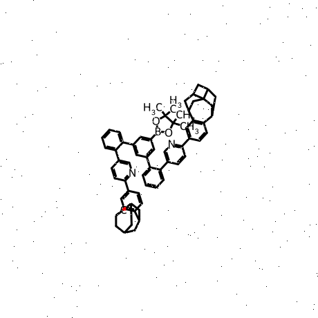 CC1(C)OB(c2cc(-c3ccccc3-c3ccc(-c4ccc5c(c4)C4CC6CC(CC5C6)C4)nc3)cc(-c3ccccc3-c3ccc(-c4ccc5c(c4)C4CC6CC7CC5CC76C4)nc3)c2)OC1(C)C